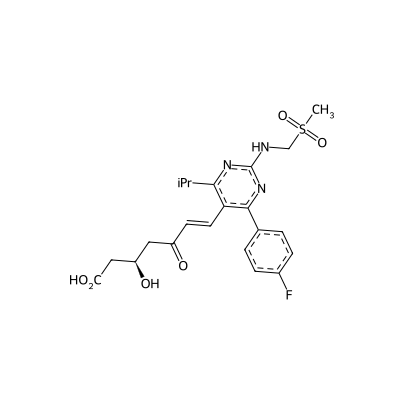 CC(C)c1nc(NCS(C)(=O)=O)nc(-c2ccc(F)cc2)c1C=CC(=O)C[C@@H](O)CC(=O)O